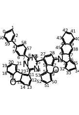 c1ccc(-c2ccc(-c3nc(-c4cccc5oc6ccccc6c45)nc(-c4ccc(-n5c6ccccc6c6cc7ccccc7cc65)c5oc6ccccc6c45)n3)cc2)cc1